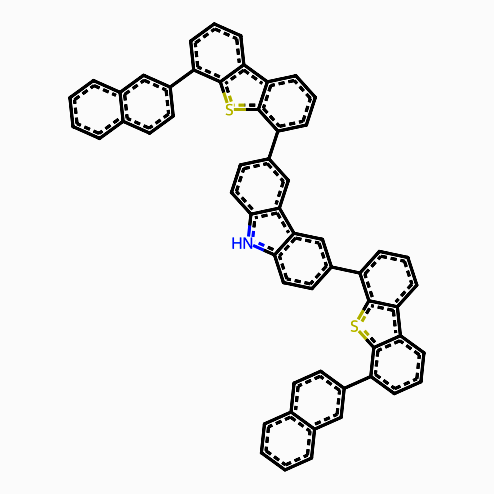 c1ccc2cc(-c3cccc4c3sc3c(-c5ccc6[nH]c7ccc(-c8cccc9c8sc8c(-c%10ccc%11ccccc%11c%10)cccc89)cc7c6c5)cccc34)ccc2c1